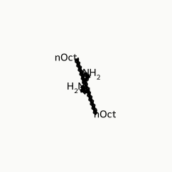 CCCCCCCC/C=C/CCCCCCCCN(CCCCN(CCCCCCCC/C=C/CCCCCCCC)CC(C)CN)CC(C)CN